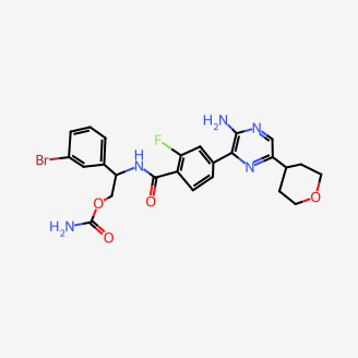 NC(=O)OCC(NC(=O)c1ccc(-c2nc(C3CCOCC3)cnc2N)cc1F)c1cccc(Br)c1